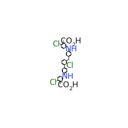 O=C(O)c1cc(Nc2ccc(Cc3cccc(-c4ccc(Nc5ccc(Cl)c(C(=O)O)c5)cc4)c3Cl)cc2)ccc1Cl